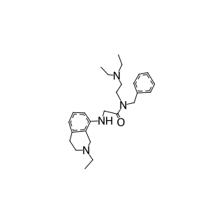 CCN(CC)CCN(Cc1ccccc1)C(=O)CNc1cccc2c1CN(CC)CC2